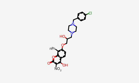 CCCc1c(OCC(O)CN2CCN(Cc3ccc(Cl)cc3)CC2)ccc2c(O)c([N+](=O)[O-])c(=O)oc12